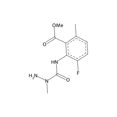 COC(=O)c1c(C)ccc(F)c1NC(=O)N(C)N